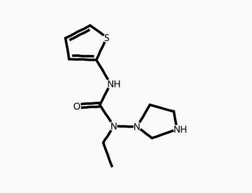 CCN(C(=O)Nc1cccs1)N1CCNC1